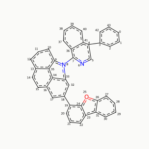 c1ccc(-c2cnc(-n3c4cccc5ccc6cc(-c7cccc8c7oc7ccccc78)cc3c6c54)c3ccccc23)cc1